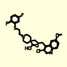 COc1ccc2ncc(Cl)c(CCCC3(C(=O)O)CCN(CCSc4cc(F)ccc4F)CC3)c2c1